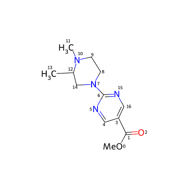 COC(=O)c1cnc(N2CCN(C)C(C)C2)nc1